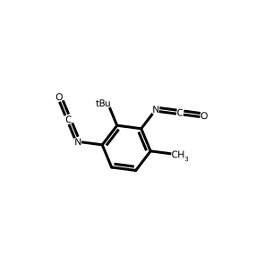 Cc1ccc(N=C=O)c(C(C)(C)C)c1N=C=O